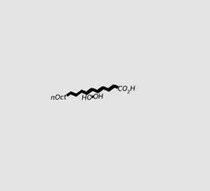 CCCCCCCCCCCC=CC=CC=CC(=O)O.OO